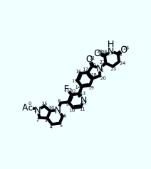 CC(=O)N1CC2CCCN(Cc3ccnc(-c4ccc5c(c4)CN(C4CCC(=O)NC4=O)C5=O)c3F)C2C1